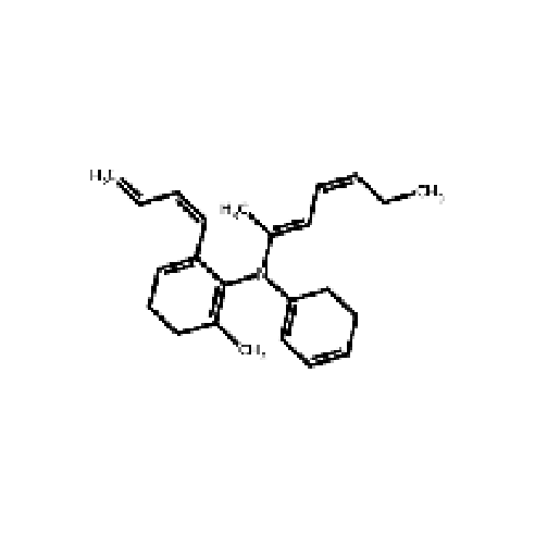 C=C/C=C\C1=CCCC(C)=C1N(C1=CC=CCC1)/C(C)=C/C=C\CC